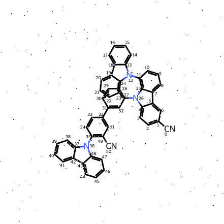 N#Cc1ccc2c(c1)c1cccc(-n3c4ccccc4c4ccccc43)c1n2-c1cccc(-c2ccc(-n3c4ccccc4c4ccccc43)c(C#N)c2)c1